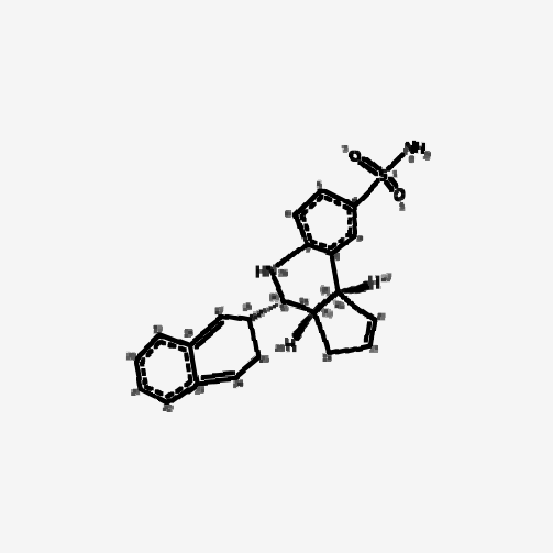 NS(=O)(=O)c1ccc2c(c1)[C@@H]1C=CC[C@@H]1[C@H](C1C=c3ccccc3=CC1)N2